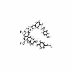 CC(=Cc1cc(C)c(Oc2ccc(OCc3ccc(C)cc3)cn2)c(Cl)c1)C(=O)N1CCN(Cc2ccc(CCOc3ccc(C(C)C)cc3)cc2)CC1